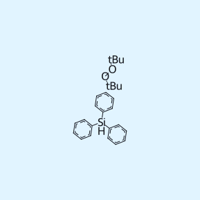 CC(C)(C)OOC(C)(C)C.c1ccc([SiH](c2ccccc2)c2ccccc2)cc1